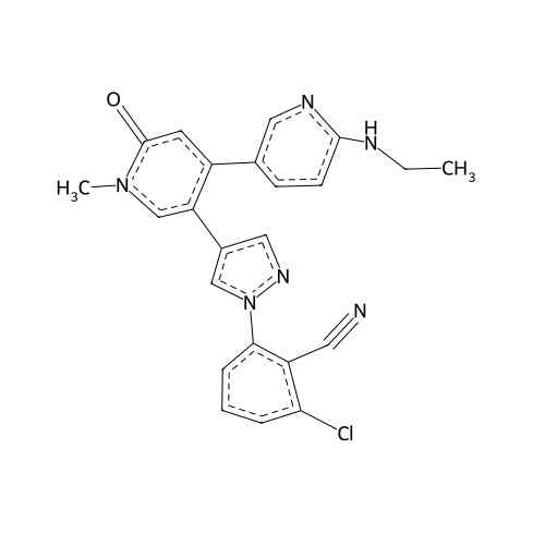 CCNc1ccc(-c2cc(=O)n(C)cc2-c2cnn(-c3cccc(Cl)c3C#N)c2)cn1